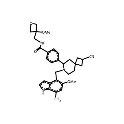 COc1cc(C)c2[nH]ccc2c1CN1CCC2(CC(C#N)C2)CC1c1ccc(C(=O)NCC2(OC)COC2)cc1